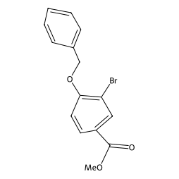 COC(=O)c1ccc(OCc2ccccc2)c(Br)c1